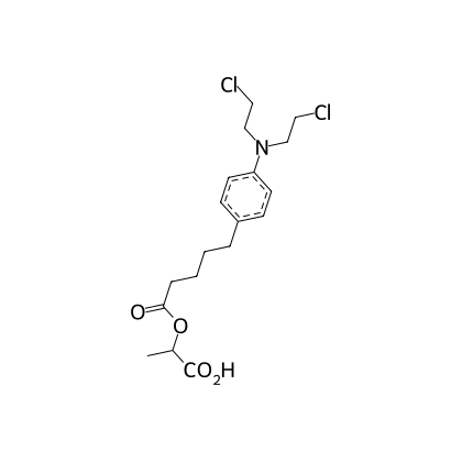 CC(OC(=O)CCCCc1ccc(N(CCCl)CCCl)cc1)C(=O)O